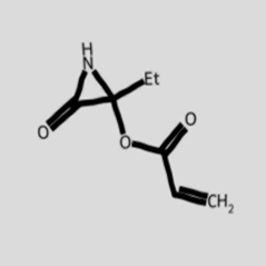 C=CC(=O)OC1(CC)NC1=O